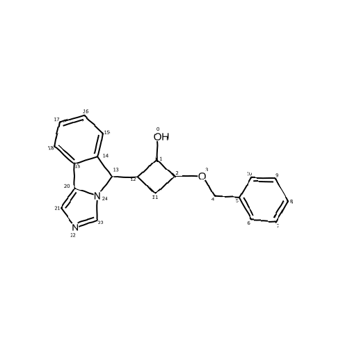 OC1C(OCc2ccccc2)CC1C1c2ccccc2-c2cncn21